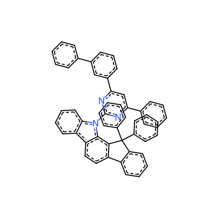 c1ccc(-c2cccc(-c3cc(-c4ccccc4)nc(-n4c5ccccc5c5ccc6c(c54)C(c4ccccc4)(c4ccccc4)c4ccccc4-6)n3)c2)cc1